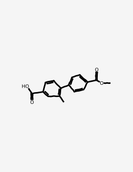 COC(=O)c1ccc(-c2ccc(C(=O)O)cc2C)cc1